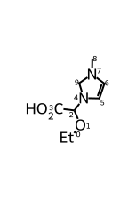 CCOC(C(=O)O)N1C=CN(C)C1